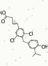 CC(C)c1cc(Cc2c(Cl)cc(/C=C/CC(=O)O)cc2Cl)ccc1O